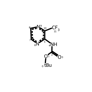 CC(C)(C)OC(=O)Nc1nccnc1C(F)(F)F